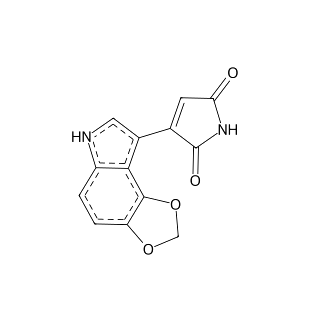 O=C1C=C(c2c[nH]c3ccc4c(c23)OCO4)C(=O)N1